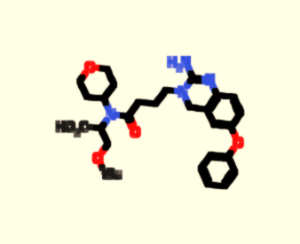 CC(C)(C)OCC(C(=O)O)N(C(=O)CCCN1Cc2cc(Oc3ccccc3)ccc2N=C1N)C1CCOCC1